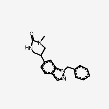 CN1CC(c2ccc3cnn(Cc4ccccc4)c3c2)CNC1=O